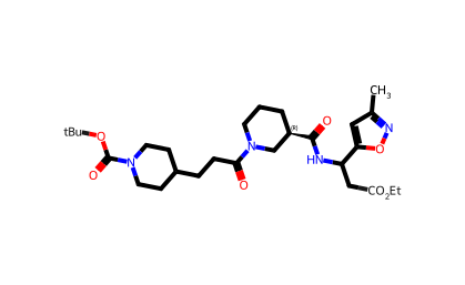 CCOC(=O)CC(NC(=O)[C@@H]1CCCN(C(=O)CCC2CCN(C(=O)OC(C)(C)C)CC2)C1)c1cc(C)no1